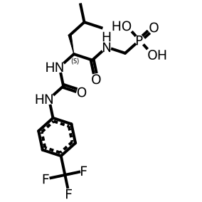 CC(C)C[C@H](NC(=O)Nc1ccc(C(F)(F)F)cc1)C(=O)NCP(=O)(O)O